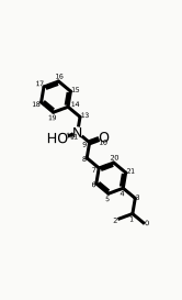 CC(C)Cc1ccc(CC(=O)N(O)Cc2ccccc2)cc1